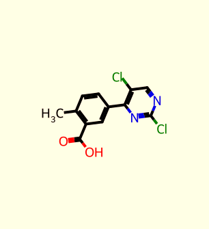 Cc1ccc(-c2nc(Cl)ncc2Cl)cc1C(=O)O